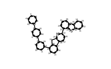 c1ccc(-c2ccc(-c3cccc(-c4cccc5c4Cc4nc(-c6cccc7c6sc6ccccc67)ccc4-5)c3)cc2)cc1